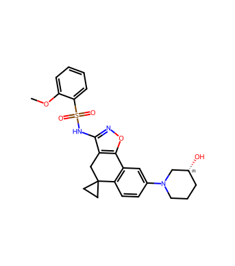 COc1ccccc1S(=O)(=O)Nc1noc2c1CC1(CC1)c1ccc(N3CCC[C@@H](O)C3)cc1-2